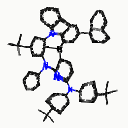 CC(C)(C)c1ccc(N(c2ccc(C(C)(C)C)cc2)c2ccc3c(n2)N(c2ccccc2)c2cc(C(C)(C)C)cc4c2B3c2cc(-c3cccc5ccccc35)cc3c5ccccc5n-4c23)cc1